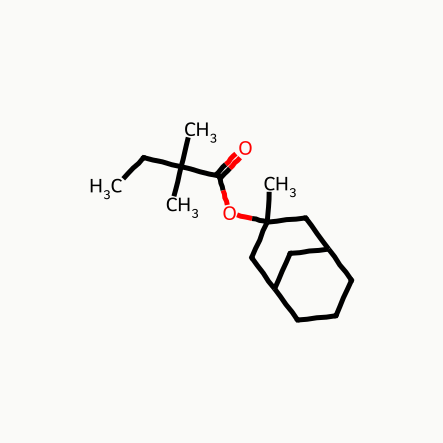 CCC(C)(C)C(=O)OC1(C)CC2CCCC(C2)C1